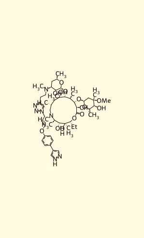 CC[C@H]1OC(=O)[C@H](C)[C@@H](O[C@H]2C[C@@](C)(OC)[C@@H](O)[C@H](C)O2)[C@H](C)[C@@H](O[C@@H]2O[C@H](C)C[C@H](N(C)CCc3cn(CCCOc4ccc(-c5cn[nH]c5)cc4)nn3)[C@H]2O)[C@](C)(O)C[C@@H](C)CN(C)[C@H](C)[C@@H](O)[C@]1(C)O